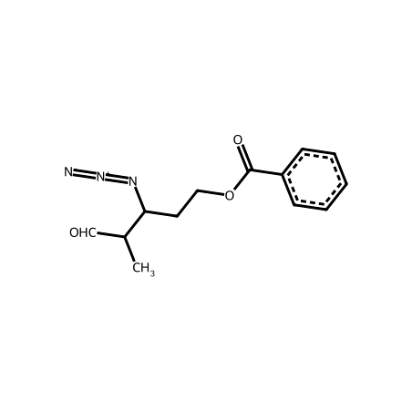 CC(C=O)C(CCOC(=O)c1ccccc1)N=[N+]=[N-]